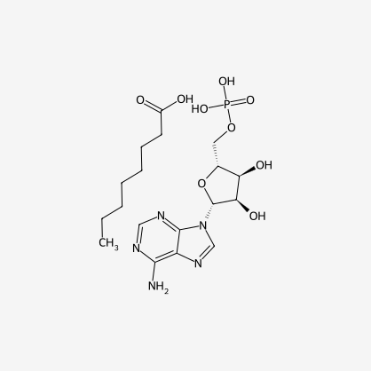 CCCCCCCC(=O)O.Nc1ncnc2c1ncn2[C@@H]1O[C@H](COP(=O)(O)O)[C@@H](O)[C@H]1O